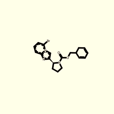 O=C(OCC1C=CC=CC1)N1CCC[C@H]1c1cn2c(Br)cccc2n1